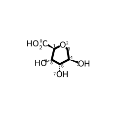 O=C(O)[C@H]1OC[C@@H](O)[C@H](O)[C@@H]1O